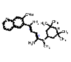 COc1cc2ncccc2cc1/C(N)=C/C=C(\N)N(C)C1CC(C)(C)NC(C)(C)C1